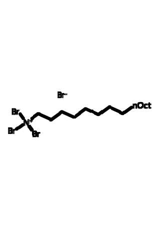 CCCCCCCCCCCCCCCC[N+](Br)(Br)Br.[Br-]